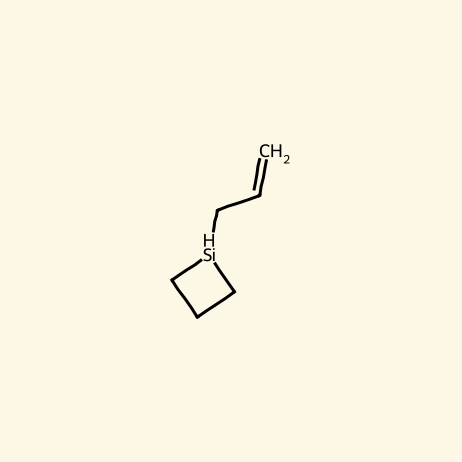 C=CC[SiH]1CCC1